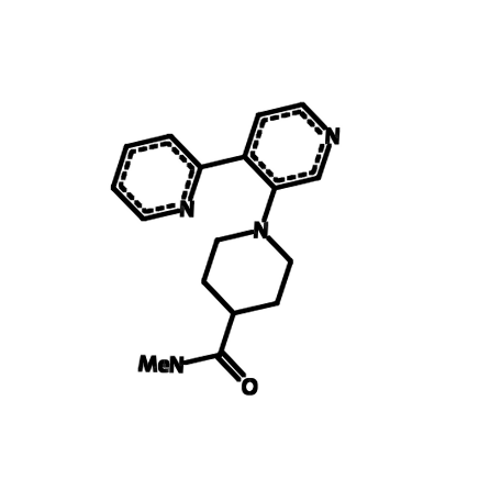 CNC(=O)C1CCN(c2cnccc2-c2ccccn2)CC1